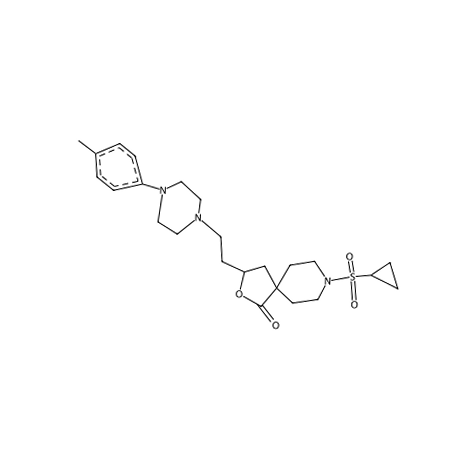 Cc1ccc(N2CCN(CCC3CC4(CCN(S(=O)(=O)C5CC5)CC4)C(=O)O3)CC2)cc1